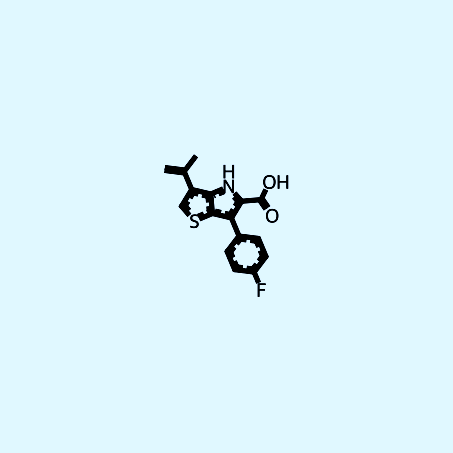 C=C(C)c1csc2c(-c3ccc(F)cc3)c(C(=O)O)[nH]c12